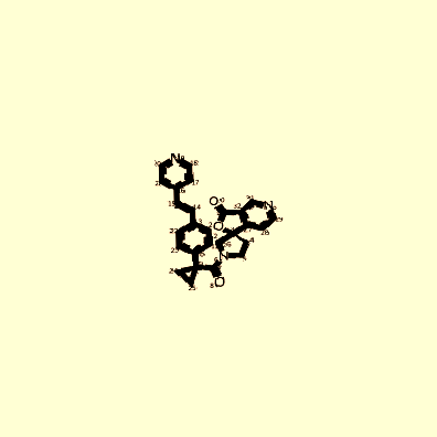 O=C1O[C@]2(CCN(C(=O)C3(c4ccc(C=Cc5ccncc5)cc4)CC3)C2)c2ccncc21